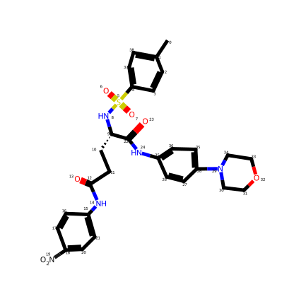 Cc1ccc(S(=O)(=O)N[C@@H](CCC(=O)Nc2ccc([N+](=O)[O-])cc2)C(=O)Nc2ccc(N3CCOCC3)cc2)cc1